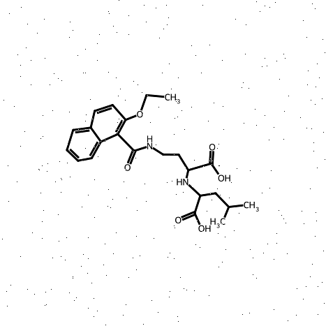 CCOc1ccc2ccccc2c1C(=O)NCCC(NC(CC(C)C)C(=O)O)C(=O)O